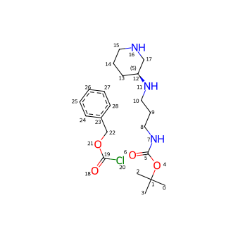 CC(C)(C)OC(=O)NCCCN[C@H]1CCCNC1.O=C(Cl)OCc1ccccc1